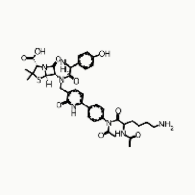 CC(=O)NC(CCCCN)C(=O)N(C(C)=O)c1ccc(-c2ccc(CN(C(=O)C(N)c3ccc(O)cc3)[C@@H]3C(=O)N4[C@@H]3SC(C)(C)[C@@H]4C(=O)O)c(=O)[nH]2)cc1